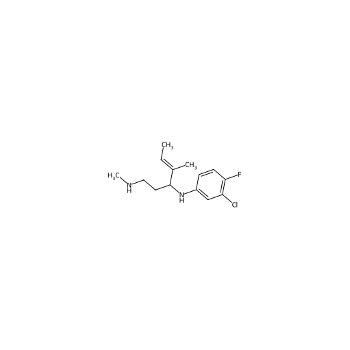 C/C=C(\C)C(CCNC)Nc1ccc(F)c(Cl)c1